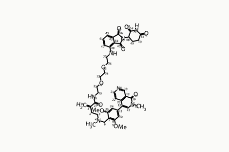 C=C(CCN(C)Cc1c(OC)cc(-c2cn(C)c(=O)c3cnccc23)cc1OC)C(=O)NCCOCCOCCNc1cccc2c1C(=O)N(C1CCC(=O)NC1=O)C2=O